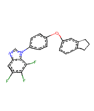 Fc1cc2n[c]n(-c3ccc(Oc4ccc5c(c4)CCC5)cc3)c2c(F)c1F